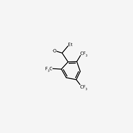 CCC([O])c1c(C(F)(F)F)cc(C(F)(F)F)cc1C(F)(F)F